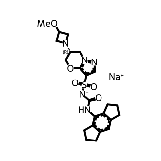 COC1CN([C@H]2COc3c(S(=O)(=O)[N-]C(=O)Nc4c5c(cc6c4CCC6)CCC5)cnn3C2)C1.[Na+]